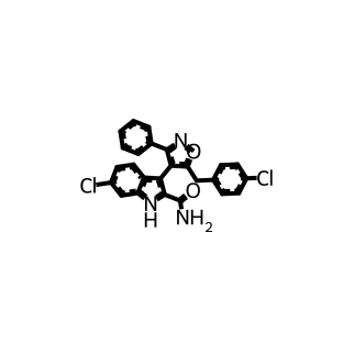 NC(=O)c1[nH]c2cc(Cl)ccc2c1-c1c(-c2ccccc2)noc1Cc1ccc(Cl)cc1